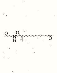 CC(=O)CCCCCCCCCCCCCCCCCNC(C=O)CCNCCCCC(C)=O